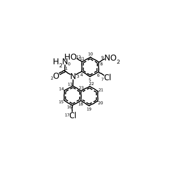 NC(=O)N(c1cc(Cl)c([N+](=O)[O-])cc1O)c1ccc(Cl)c2ccccc12